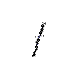 C=CC(=O)OCCCCOc1ccc(/C=C/C(=O)Oc2ccc(/C(CC)=N/N=C(\CC)c3ccc(OC(=O)/C=C/c4ccc(C#N)cc4)cc3)cc2)cc1